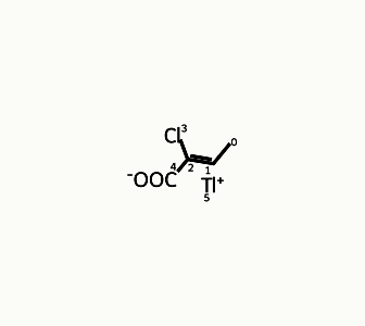 C/C=C(\Cl)C(=O)[O-].[Tl+]